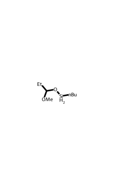 CCCC[SiH2]OC(CC)OC